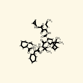 CCC[C@H](NC(=O)[C@@H]1C[C@@]2(CN1C(=O)[C@@H](NC(=O)[C@@H](NC(=O)[C@H]1CCCCN1CC)C1CCCCC1)C(C)(C)C)C(C)(C)C21CCC1)C(=O)C(=O)NC1CC1